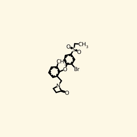 CCS(=O)(=O)c1ccc(Oc2c(C)cccc2CN2CCC2=O)c(Br)c1